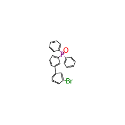 O=P(c1ccccc1)(c1ccccc1)c1cccc(-c2cccc(Br)c2)c1